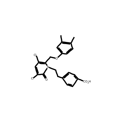 Cc1ccc(OCc2c(Cl)cc(Cl)c(=O)n2CCc2ccc(C(=O)O)cc2)cc1C